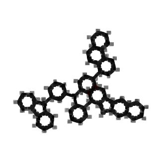 c1cc(N(c2ccc(-c3cccc4c3ccc3ccccc34)cc2)c2ccccc2-c2cccc3c2oc2cc4ccccc4cc23)cc(-n2c3ccccc3c3ccccc32)c1